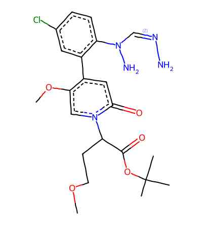 COCCC(C(=O)OC(C)(C)C)n1cc(OC)c(-c2cc(Cl)ccc2N(N)/C=N\N)cc1=O